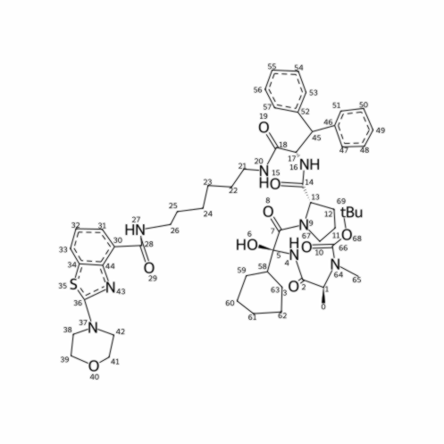 C[C@@H](C(=O)N[C@@](O)(C(=O)N1CCC[C@H]1C(=O)N[C@H](C(=O)NCCCCCCNC(=O)c1cccc2sc(N3CCOCC3)nc12)C(c1ccccc1)c1ccccc1)C1CCCCC1)N(C)C(=O)OC(C)(C)C